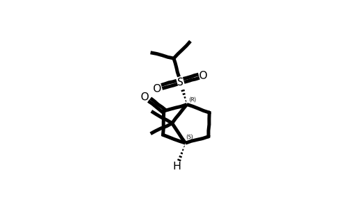 CC(C)S(=O)(=O)[C@@]12CC[C@@H](CC1=O)C2(C)C